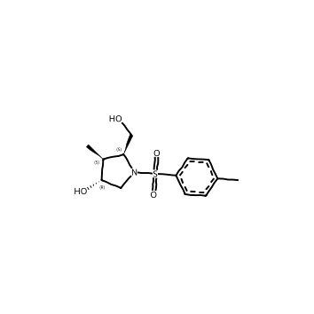 Cc1ccc(S(=O)(=O)N2C[C@H](O)[C@@H](C)[C@H]2CO)cc1